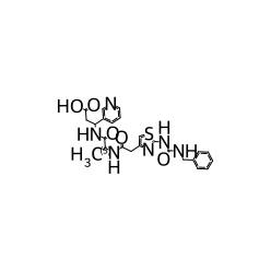 C[C@H](NC(=O)Cc1csc(NC(=O)NCc2ccccc2)n1)C(=O)NC(CC(=O)O)c1cccnc1